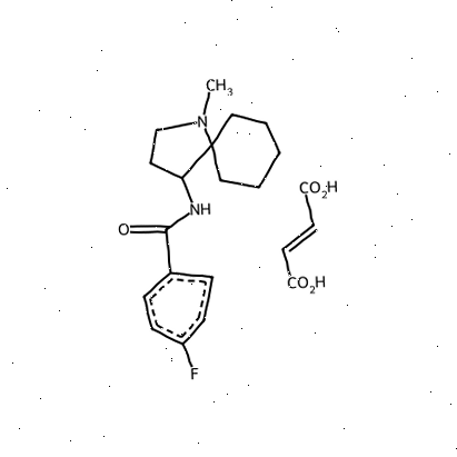 CN1CCC(NC(=O)c2ccc(F)cc2)C12CCCCC2.O=C(O)C=CC(=O)O